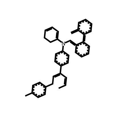 C=c1cccc/c1=c1\cccc\c1=C/N(C1=CC=CCC1)c1ccc(C(/C=C\C)=C/Cc2ccc(C)cc2)cc1